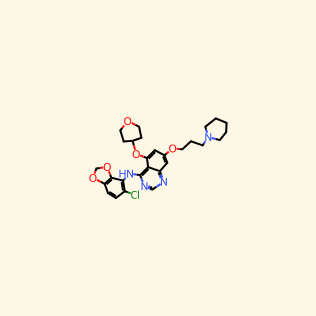 Clc1ccc2c(c1Nc1ncnc3cc(OCCCN4CCCCC4)cc(OC4CCOCC4)c13)OCO2